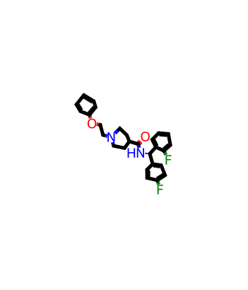 O=C(N[C@@H](c1ccc(F)cc1)c1ccccc1F)C1CCN(CCOc2ccccc2)CC1